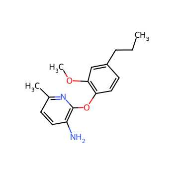 CCCc1ccc(Oc2nc(C)ccc2N)c(OC)c1